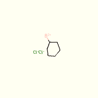 [B+2]C1CCCCC1.[Cl-].[Cl-]